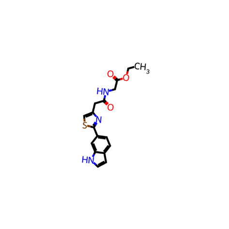 CCOC(=O)CNC(=O)Cc1csc(-c2ccc3cc[nH]c3c2)n1